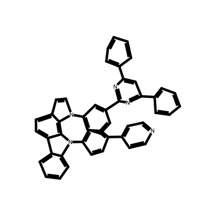 c1ccc(-c2cc(-c3ccccc3)nc(-c3cccc(-n4ccc5ccc6c7ccccc7n(-c7ccc(-c8ccncc8)cc7)c6c54)c3)n2)cc1